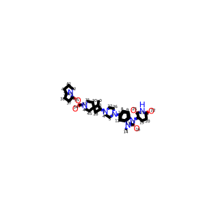 CC1C(N2CCN(c3ccc4c(c3)n(C)c(=O)n4C3CCC(=O)NC3=O)CC2)CC12CCN(C(=O)OC1CCC3CCCN31)CC2